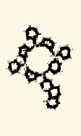 C1=NC2=c3ncccc3=CCC2C=C1N1c2cccc(c2)N(c2ccccc2)c2cccc(c2)N(c2ccccc2)c2cccc(c2)N(c2ccccc2)c2cccc1c2